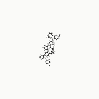 Cc1ccc(-n2c3c(c4cc5c(cc42)C2=CC=C4c6cc(N7c8ccc(C)cc8C8=CC=CNC87)ccc6N(c6ccccc6-5)C4CC2)C=NC3)cc1